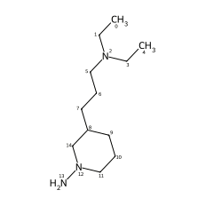 CCN(CC)CCCC1CCCN(N)C1